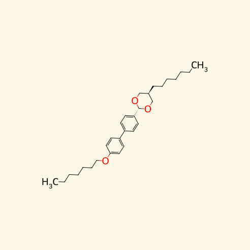 CCCCCCCOc1ccc(-c2ccc([C@H]3OC[C@H](CCCCCCC)CO3)cc2)cc1